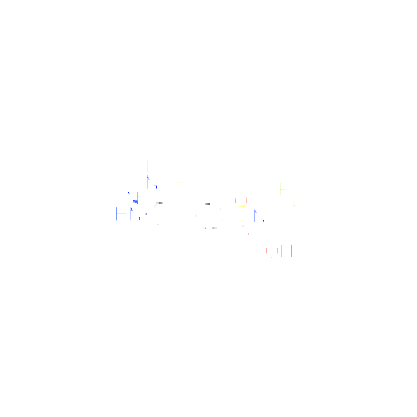 Cc1cc(S(=O)(=O)N2CC(F)(F)CC2CO)ccc1-c1ccc2[nH]nc(N)c2c1F